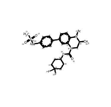 CC(=O)N1c2ccc(-c3ccc(NS(C)(=O)=O)cc3)cc2N(C(=O)OC2CCC(F)(F)CC2)CC1C